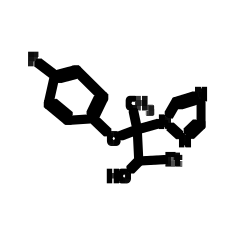 CCC(O)C(C)(Oc1ccc(F)cc1)n1cncn1